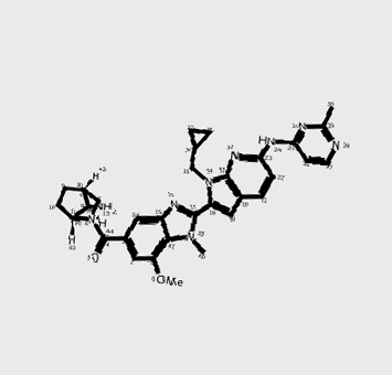 COc1cc(C(=O)N2C[C@H]3CC[C@@H]2[C@@H]3N)cc2nc(-c3cc4ccc(Nc5ccnc(C)n5)nc4n3CC3CC3)n(C)c12